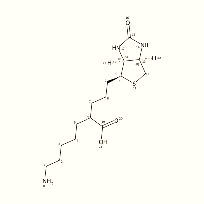 NCCCCCC(CCC[C@@H]1SC[C@@H]2NC(=O)N[C@@H]21)C(=O)O